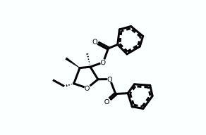 CC[C@H]1OC(OC(=O)c2ccccc2)[C@](C)(OC(=O)c2ccccc2)[C@@H]1C